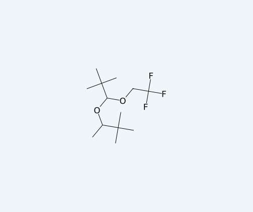 CC(OC(OCC(F)(F)F)C(C)(C)C)C(C)(C)C